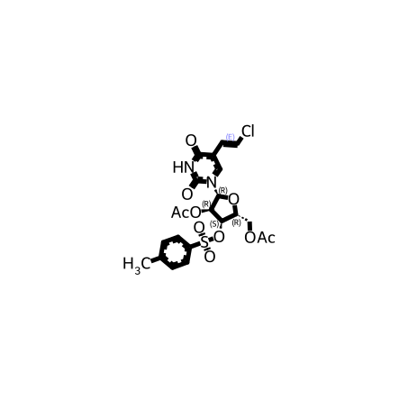 CC(=O)OC[C@H]1O[C@@H](n2cc(/C=C/Cl)c(=O)[nH]c2=O)[C@H](OC(C)=O)[C@H]1OS(=O)(=O)c1ccc(C)cc1